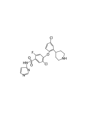 O=S(=O)(Nc1ccncn1)c1cc(Cl)c(Oc2ccc(Cl)cc2C2CCNCC2)cc1F